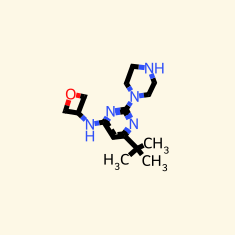 CC(C)(C)c1cc(NC2COC2)nc(N2CCNCC2)n1